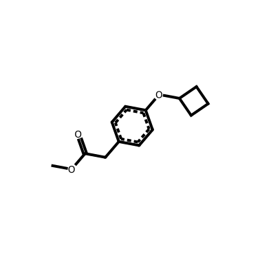 COC(=O)Cc1ccc(OC2CCC2)cc1